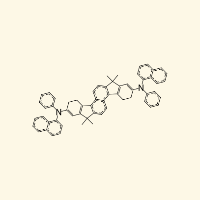 CC1(C)C2=C(CCC(N(c3ccccc3)c3cccc4ccccc34)=C2)c2c1ccc1c3c(ccc21)C(C)(C)C1=C3CCC(N(c2ccccc2)c2cccc3ccccc23)=C1